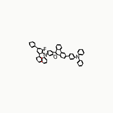 Fc1cc(-c2ccccc2)cc(-c2ccccc2)c1N(c1ccccc1)c1ccc2c(c1)oc1c3ccc(-c4ccc(N(c5ccccc5)c5ccccc5)cc4)cc3c3ccccc3c21